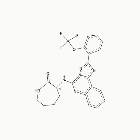 O=C1NCCCC[C@H]1Nc1nc2ccccc2c2nc(-c3ccccc3OC(F)(F)F)nn12